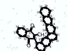 CC1=C(c2cccc3cc4ccc5cc6cc7ccccc7cc6cc5c4cc23)C(=O)c2ccccc2C1=O